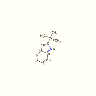 CC(C)(C)C1=CC2C=CC=CC2=N1